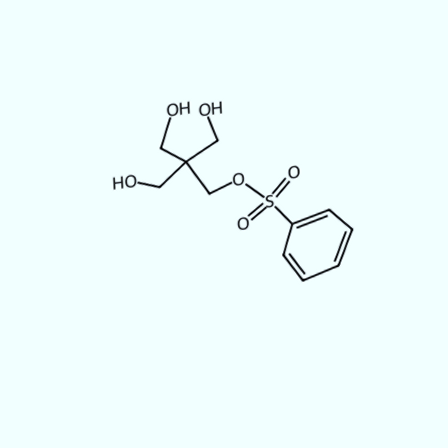 O=S(=O)(OCC(CO)(CO)CO)c1ccccc1